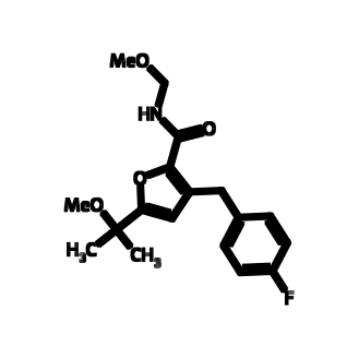 COCNC(=O)c1oc(C(C)(C)OC)cc1Cc1ccc(F)cc1